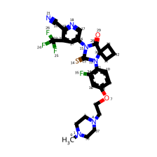 CN1CCN(CCOc2ccc(N3C(=S)N(c4cnc(C#N)c(C(F)(F)F)c4)C(=O)C34CCC4)c(F)c2)CC1